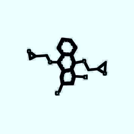 Clc1cc(Cl)c2c(OCC3CO3)c3ccccc3c(OCC3CO3)c2c1